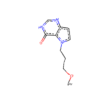 CC(C)OCCCn1ccc2nc[nH]c(=O)c21